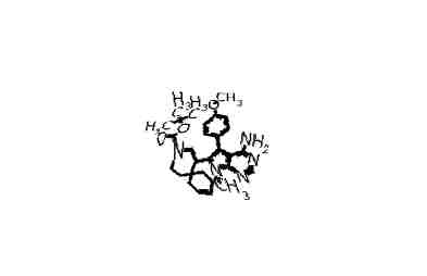 COc1ccc(-c2c(C3CN(C(=O)OC(C)(C)C)CCC34CC=CCC4)n(C)c3ncnc(N)c23)cc1